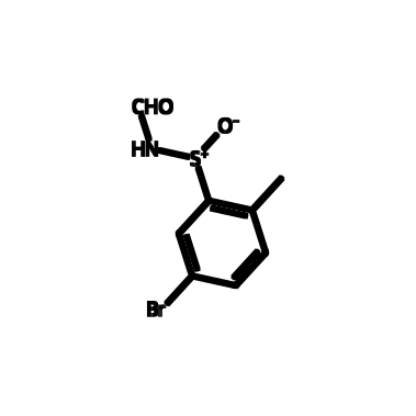 Cc1ccc(Br)cc1[S+]([O-])NC=O